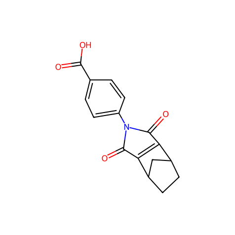 O=C(O)c1ccc(N2C(=O)C3=C(C2=O)C2CCC3C2)cc1